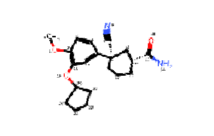 COc1ccc([C@]2(C#N)CCC[C@@H](C(N)=O)C2)cc1OC1CCCC1